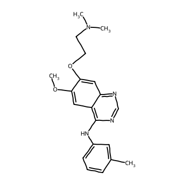 COc1cc2c(Nc3cccc(C)c3)ncnc2cc1OCCN(C)C